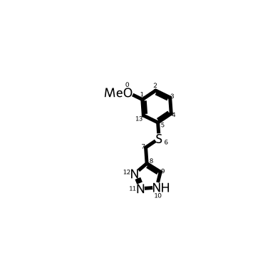 COc1cccc(SCc2c[nH]nn2)c1